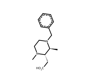 C[C@H]1[C@H](CC(=O)O)N(C)CCN1Cc1ccccc1